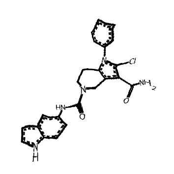 NC(=O)c1c2c(n(-c3ccccc3)c1Cl)CCN(C(=O)Nc1ccc3[nH]ccc3c1)C2